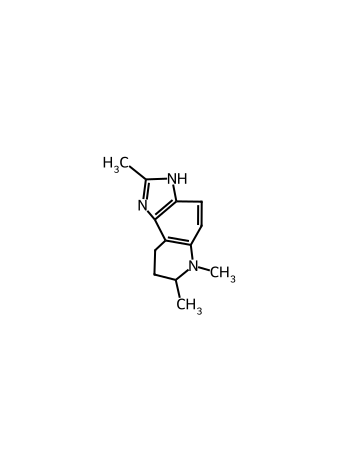 Cc1nc2c3c(ccc2[nH]1)N(C)C(C)CC3